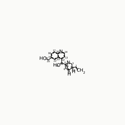 C=C[C@H]1CN2CC[C@@H]1CC2[C@@H](O)c1ccnc2ccc(CO)cc12